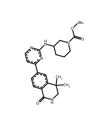 CC(C)(C)OC(=O)N1CCCC(Nc2nccc(-c3ccc4c(c3)C(C)(C)CNC4=O)n2)C1